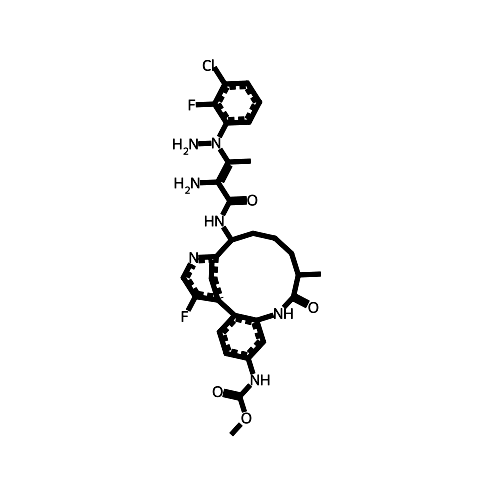 COC(=O)Nc1ccc2c(c1)NC(=O)C(C)CCCC(NC(=O)/C(N)=C(\C)N(N)c1cccc(Cl)c1F)c1cc-2c(F)cn1